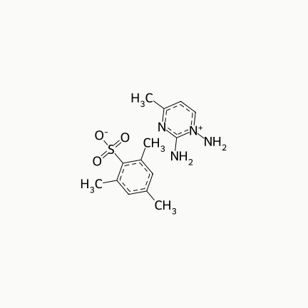 Cc1cc(C)c(S(=O)(=O)[O-])c(C)c1.Cc1cc[n+](N)c(N)n1